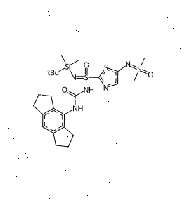 CC(C)(C)[Si](C)(C)N=S(=O)(NC(=O)Nc1c2c(cc3c1CCC3)CCC2)c1ncc(N=S(C)(C)=O)s1